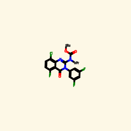 CCCN(C(=O)OC(C)(C)C)c1nc2c(Cl)ccc(F)c2c(=O)n1-c1cc(F)cc(F)c1